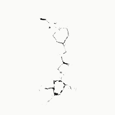 C=CS(=O)(=O)N1CCC(CNC(=O)CNc2cc(Cl)c(Cl)cc2O)CC1